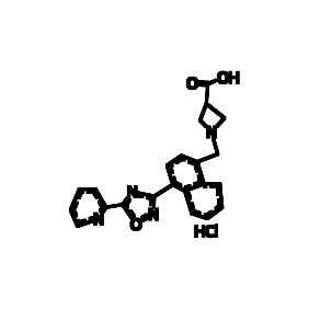 Cl.O=C(O)C1CN(Cc2ccc(-c3noc(-c4ccccn4)n3)c3ccccc23)C1